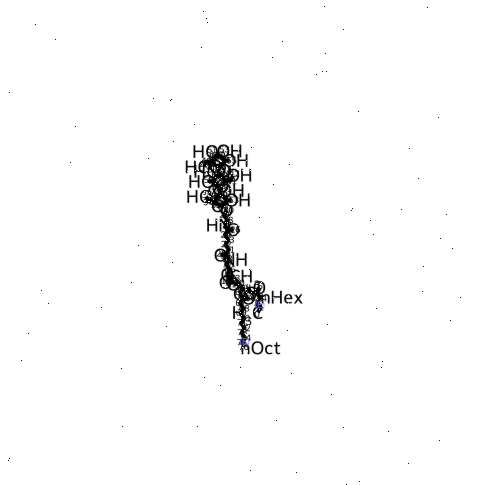 C/C=C/C(CCCCCC)C(=O)OC[C@@H](COP(C)(=O)OCCNC(=O)CCCCC(=O)NCCO[C@@H]1OC(CO)[C@@H](O[C@@H]2OC(CO)[C@H](O[C@H]3OC(CO)[C@H](O)[C@H](O)C3O)[C@H](O)C2O)[C@H](O)C1O)OC(=O)CCCCCCC/C=C/CCCCCCCC